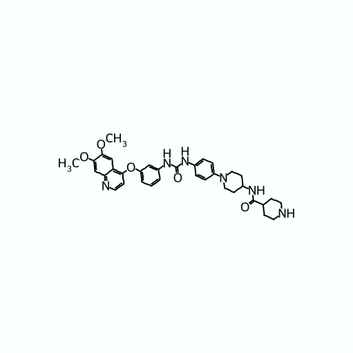 COc1cc2nccc(Oc3cccc(NC(=O)Nc4ccc(N5CCC(NC(=O)C6CCNCC6)CC5)cc4)c3)c2cc1OC